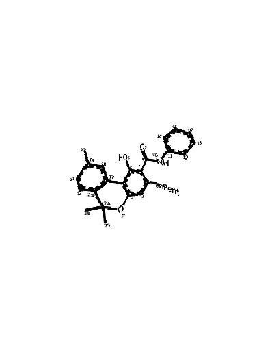 CCCCCc1cc2c(c(O)c1C(=O)Nc1ccccc1)-c1cc(C)ccc1C(C)(C)O2